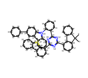 CC1(C)c2ccccc2-c2c(-c3nc(-c4ccccc4-n4c5ccccc5c5cc(-c6ccccc6)ccc54)nc(-c4cccc5c4sc4ccccc45)n3)cccc21